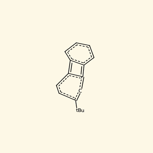 CC(C)(C)c1ccc2c(c1)=c1ccccc1=2